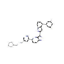 Oc1cc(F)cc(-c2cccc3[nH]c(-c4n[nH]c5ccc(-c6cncc(CNCC7CCCC7)c6)nc45)cc23)c1